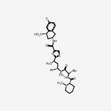 CC[C@H](C)C(NC(=O)[C@H]1CCCCN1C)C(=O)N(C)[C@H](C[C@@H](OC(C)=O)c1nc(C(=O)N[C@H]2Cc3ccc(F)cc3[C@H](C(=O)O)C2)cs1)C(C)C